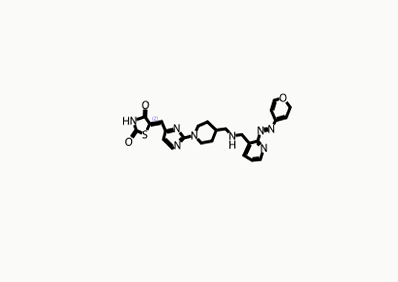 O=C1NC(=O)/C(=C/c2ccnc(N3CCC(CNCc4cccnc4N=NC4=CCOC=C4)CC3)n2)S1